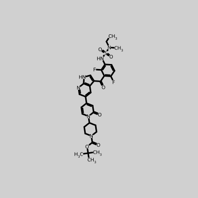 CCN(C)S(=O)(=O)Nc1ccc(F)c(C(=O)c2c[nH]c3ncc(-c4ccn(C5CCN(C(=O)OC(C)(C)C)CC5)c(=O)c4)cc23)c1F